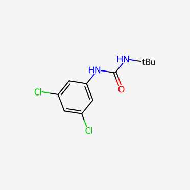 CC(C)(C)NC(=O)Nc1cc(Cl)cc(Cl)c1